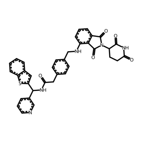 O=C1CCC(N2C(=O)c3cccc(NCc4ccc(CC(=O)NC(c5cccnc5)c5cc6ccccc6s5)cc4)c3C2=O)C(=O)N1